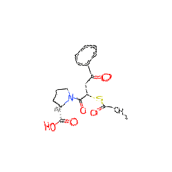 CC(=O)SC(CC(=O)c1ccccc1)C(=O)N1CCC[C@H]1C(=O)O